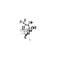 NC1=N[C@@H]2[C@@H](O)[C@H](O)C(C(F)F)O[C@@H]2C1